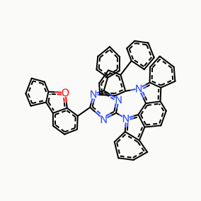 c1ccc(-c2nc(-c3cccc4c3oc3ccccc34)nc(-n3c4ccccc4c4ccc5c6ccccc6n(-c6ccccc6-c6ccccc6)c5c43)n2)cc1